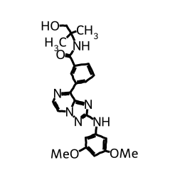 COc1cc(Nc2nc3c(-c4cccc(C(=O)NC(C)(C)CO)c4)nccn3n2)cc(OC)c1